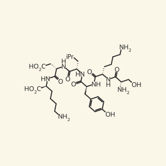 CC(C)C[C@H](NC(=O)[C@H](Cc1ccc(O)cc1)NC(=O)[C@H](CCCCN)NC(=O)[C@@H](N)CO)C(=O)N[C@@H](CC(=O)O)C(=O)N[C@@H](CCCCN)C(=O)O